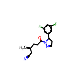 C=C(CC#N)CCC(=O)N1N=CCC1c1cc(F)cc(F)c1